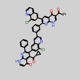 CC(C)C(=O)c1c[nH]c2nc(-c3cccc(-c4cnc5c(Cl)cc(-c6c(-c7ccccc7)nc7[nH]ccc(=O)c7c6C(=O)C6CC6)cc5c4)c3)c(-c3cc(Cl)c4ncccc4c3)cc2c1=O